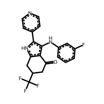 O=C1CC(C(F)(F)F)Cc2[nH]c(-c3ccncc3)c(Nc3cccc(F)c3)c21